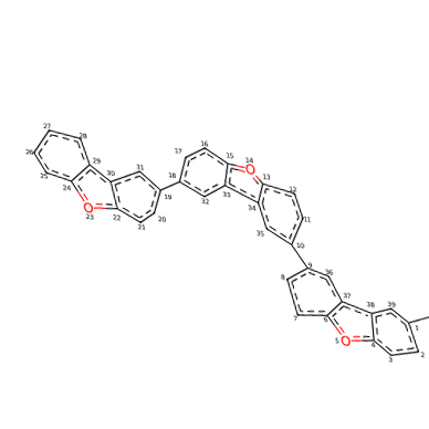 N#Cc1ccc2oc3ccc(-c4ccc5oc6ccc(-c7ccc8oc9ccccc9c8c7)cc6c5c4)cc3c2c1